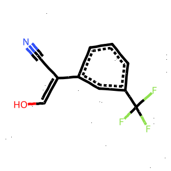 N#CC(=CO)c1cccc(C(F)(F)F)c1